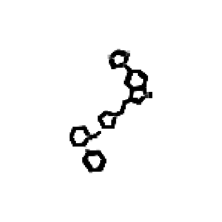 c1ccc([C@@H]2CCCCN2C[C@@H]2CCN(CCc3c[nH]c4ccc(-n5cncn5)cc34)C2)cc1